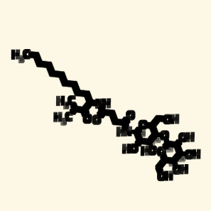 CCCCCCCCCCC(NC(=O)CCC(=O)N[C@@H]1OC(CO)[C@@H](O[C@@H]2OC(CO)[C@H](O)[C@H](O)C2O)[C@H](O)C1O)C(=O)C(C)C